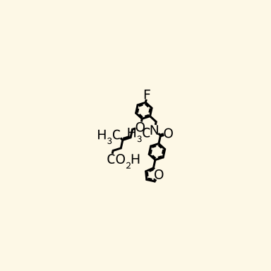 C/C(=C\COc1ccc(F)cc1CN(C)C(=O)c1ccc(-c2ccco2)cc1)CCC(=O)O